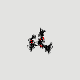 CCCn1c(=O)c2[nH]c(C34CCC(C(=O)NCC(=O)O)(CC3)CC4)nc2n(CCC)c1=O.CCCn1c(=O)c2[nH]c(C34CCC(OP(=O)(O)OC(C(=O)O)N(C)C(=O)C56CCC(c7nc8c([nH]7)c(=O)n(CCC)c(=O)n8CCC)(CC5)CC6)(CC3)CC4)nc2n(CCC)c1=O